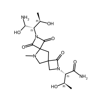 C[C@@H](O)[C@@H](C(N)=O)N1CC2(CN(C)C3(C2)C(=O)N([C@H](C(N)O)[C@@H](C)O)C3=O)C1=O